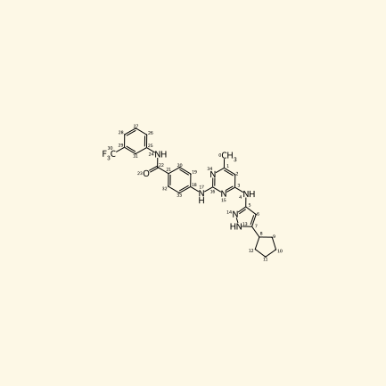 Cc1cc(Nc2cc(C3CCCC3)[nH]n2)nc(Nc2ccc(C(=O)Nc3cccc(C(F)(F)F)c3)cc2)n1